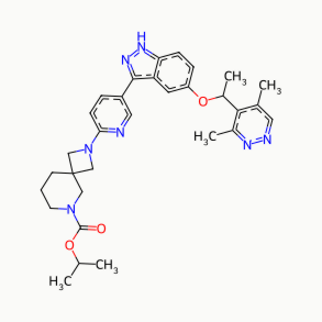 Cc1cnnc(C)c1C(C)Oc1ccc2[nH]nc(-c3ccc(N4CC5(CCCN(C(=O)OC(C)C)C5)C4)nc3)c2c1